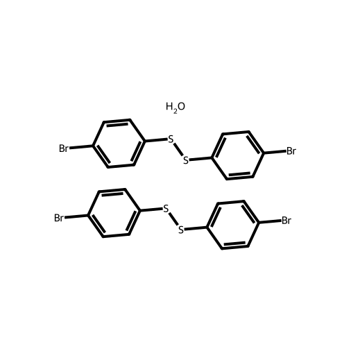 Brc1ccc(SSc2ccc(Br)cc2)cc1.Brc1ccc(SSc2ccc(Br)cc2)cc1.O